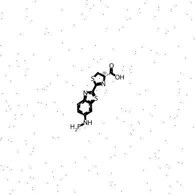 O=C(O)[C@H]1CSC(c2nc3ccc(NP)cc3s2)=N1